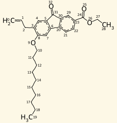 C=CCc1cc2c(cc1OCCCCCCCCCC)-c1ccc(C(=O)OCC)cc1C2=O